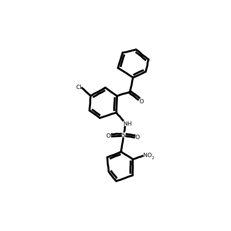 O=C(c1ccccc1)c1cc(Cl)ccc1NS(=O)(=O)c1ccccc1[N+](=O)[O-]